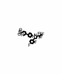 CS(=O)(=O)c1ccc(-c2ccc(N3N=C(C(F)(F)C(F)(F)F)CC3c3ccc(F)cc3F)cc2)cn1